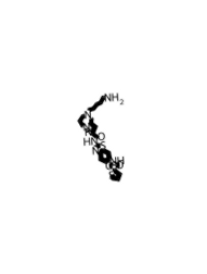 NCCCCCN1CCCn2nc(C(=O)Nc3nc4ccc(NS(=O)(=O)c5cccs5)cc4s3)cc2C1